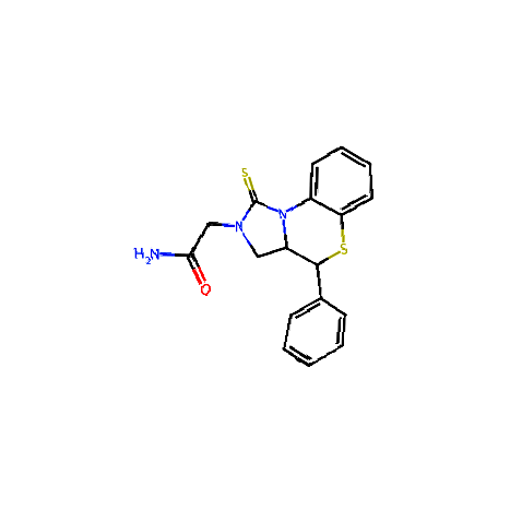 NC(=O)CN1CC2C(c3ccccc3)Sc3ccccc3N2C1=S